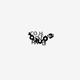 CC(C)(C(=O)O)C1CCC(Oc2[nH]c3cc(Cl)c(-c4c(F)cc(N5CCOCC5)cc4F)nc3c2Cl)CC1